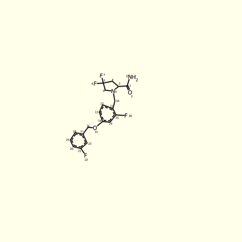 NC(=O)C1CC(F)(F)CN1Cc1ccc(OCc2cccc(F)c2)cc1F